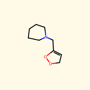 C1=C(CN2CCCCC2)OOC1